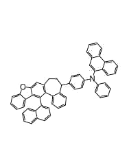 c1ccc(N(c2ccc(C3CCc4cc5oc6ccccc6c5c(-c5cccc6ccccc56)c4-c4ccccc43)cc2)c2cc3ccccc3c3ccccc23)cc1